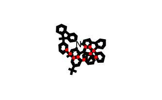 CC1CC=CC=C1C1(c2ccccc2)c2ccccc2-c2ccc(N(c3ccc4c(c3)C(C)(c3ccccc3)c3ccccc3-4)c3ccccc3-c3cccc4cccc(-c5cc(C(C)(C)C)cc(C(C)(C)C)c5)c34)cc21